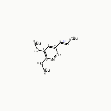 CCCCOc1cc(/C=C/C(C)(C)C)nnc1OCCCC